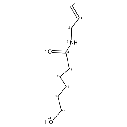 C=CCNC(=O)CCCCCO